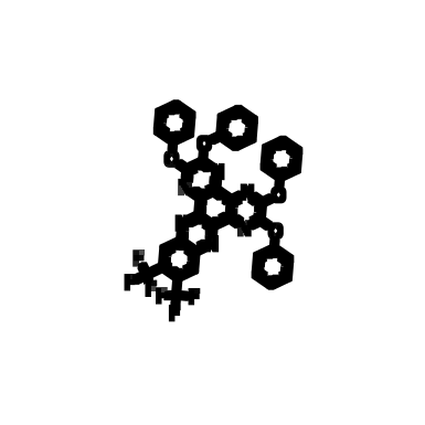 FC(F)(F)c1cc2nc3c4nc(Oc5ccccc5)c(Oc5ccccc5)nc4c4nc(Oc5ccccc5)c(Oc5ccccc5)nc4c3nc2cc1C(F)(F)F